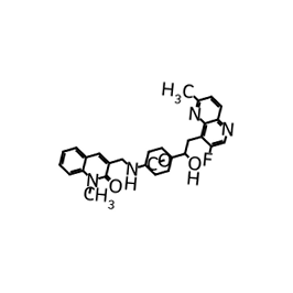 Cc1ccc2ncc(F)c(CC(O)C34CCC(NCc5cc6ccccc6n(C)c5=O)(CC3)CO4)c2n1